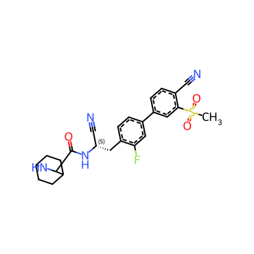 CS(=O)(=O)c1cc(-c2ccc(C[C@@H](C#N)NC(=O)C3NC4CCC3CC4)c(F)c2)ccc1C#N